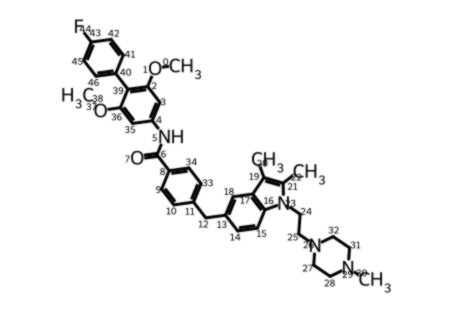 COc1cc(NC(=O)c2ccc(Cc3ccc4c(c3)c(C)c(C)n4CCN3CCN(C)CC3)cc2)cc(OC)c1-c1ccc(F)cc1